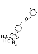 CC(C)(C)OC(=O)N1CCC(CCOCc2cccnc2)CC1